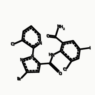 NC(=O)c1cc(I)cc(Cl)c1NC(=O)c1cc(Br)nn1-c1ncccc1Cl